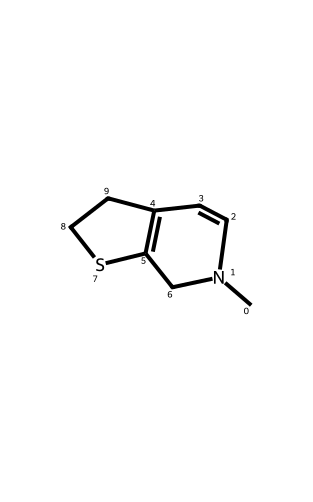 CN1C=CC2=C(C1)SCC2